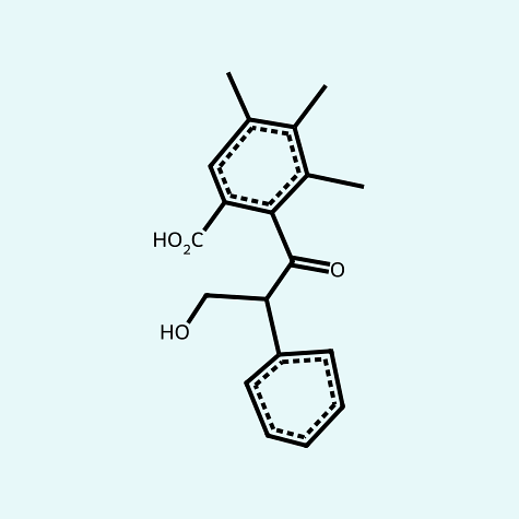 Cc1cc(C(=O)O)c(C(=O)C(CO)c2ccccc2)c(C)c1C